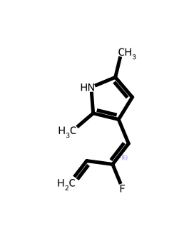 C=C/C(F)=C\c1cc(C)[nH]c1C